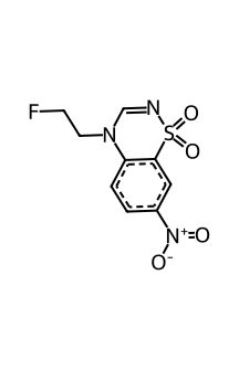 O=[N+]([O-])c1ccc2c(c1)S(=O)(=O)N=CN2CCF